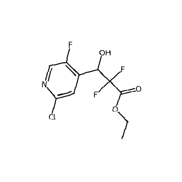 CCOC(=O)C(F)(F)C(O)c1cc(Cl)ncc1F